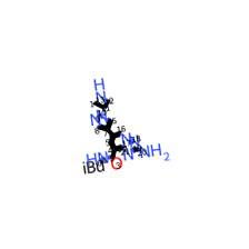 CCC(C)NC(=O)c1cc(-c2cnn(C3CNC3)c2)cn2nc(N)nc12